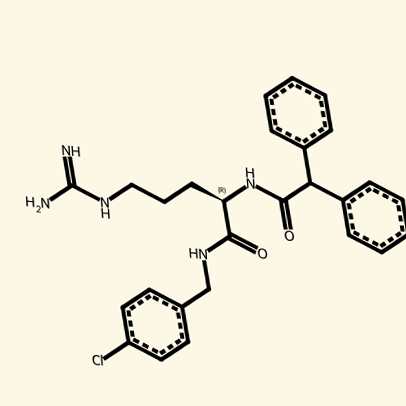 N=C(N)NCCC[C@@H](NC(=O)C(c1ccccc1)c1ccccc1)C(=O)NCc1ccc(Cl)cc1